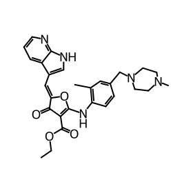 CCOC(=O)C1=C(Nc2ccc(CN3CCN(C)CC3)cc2C)OC(=Cc2c[nH]c3ncccc23)C1=O